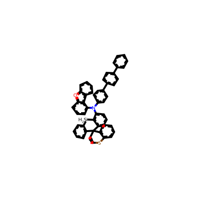 c1ccc(-c2ccc(-c3ccc(N(c4cccc5c4[SiH2]c4ccccc4C54c5ccccc5Sc5ccccc54)c4cccc5oc6ccccc6c45)cc3)cc2)cc1